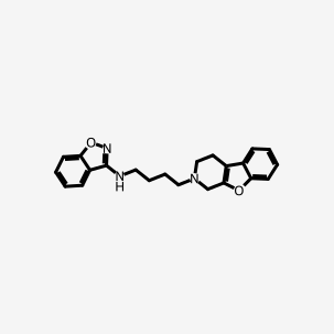 c1ccc2c(NCCCCN3CCc4c(oc5ccccc45)C3)noc2c1